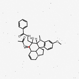 CC[C@]12C=CCN3CC[C@@]4(c5ccc(OC)cc5N(C)[C@H]4C(O)(CNC(=O)c4ccccc4)[C@@H]1OC(C)=O)C32